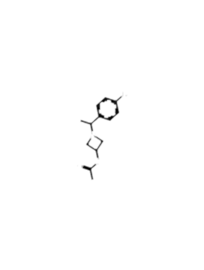 CC(=O)SC1CN(C(C)c2ccc(Br)cc2)C1